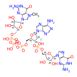 C[n+]1cn([C@@H]2O[C@H](COP(=O)(O)OP(=O)(O)OP(=O)(O)OC[C@H]3O[C@@H](n4cnc5c(N)ncnc54)[C@H](F)[C@@H]3OP(=O)(O)OC[C@H]3O[C@@H](n4cnc5c(=O)[nH]c(N)nc54)[C@H](O)[C@@H]3O)[C@@H](O)[C@H]2O)c2nc(N)[nH]c(=O)c21